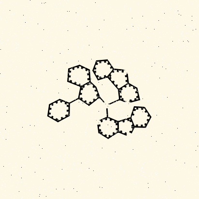 c1ccc(-c2cc(N(c3nccc4oc5ccccc5c34)c3nccc4oc5ccccc5c34)cc3ccccc23)cc1